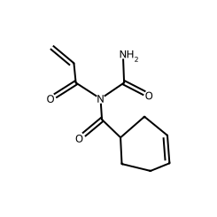 C=CC(=O)N(C(N)=O)C(=O)C1CC=CCC1